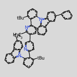 Cc1ccc2c(c1)c1ccccc1n2-c1cccc(C(C)(C)C)c1-c1ccc(-c2ccc(-c3c(-n4c5ccccc5c5cc(-c6ccccc6)ccc54)cccc3C(C)(C)C)nc2C)cn1